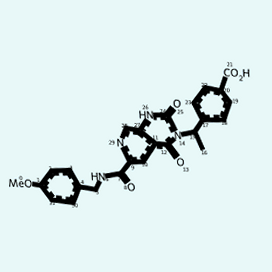 COc1ccc(CNC(=O)c2cc3c(=O)n(C(C)c4ccc(C(=O)O)cc4)c(=O)[nH]c3cn2)cc1